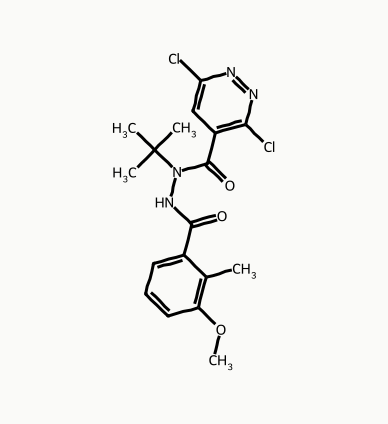 COc1cccc(C(=O)NN(C(=O)c2cc(Cl)nnc2Cl)C(C)(C)C)c1C